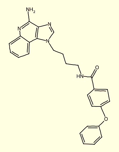 Nc1nc2ccccc2c2c1ncn2CCCCNC(=O)c1ccc(Oc2ccccc2)cc1